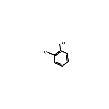 O=C(O)c1ccncc1S(=O)(=O)O